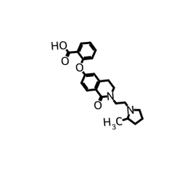 CC1CCCN1CCN1CCc2cc(Oc3ccccc3C(=O)O)ccc2C1=O